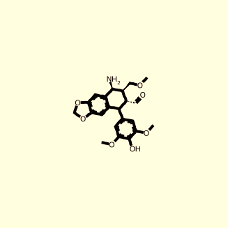 COC[C@@H]1[C@H](N)c2cc3c(cc2C(c2cc(OC)c(O)c(OC)c2)[C@H]1C=O)OCO3